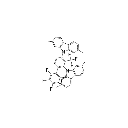 Cc1ccc2c3ccc(C)cc3n(-c3ccc(-c4c(F)c(F)c(F)c(F)c4F)c(-n4c5cc(C)ccc5c5ccc(C)cc54)c3C(F)(F)F)c2c1